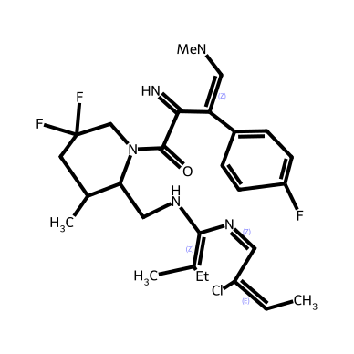 C\C=C(Cl)/C=N\C(NCC1C(C)CC(F)(F)CN1C(=O)C(=N)/C(=C\NC)c1ccc(F)cc1)=C(\C)CC